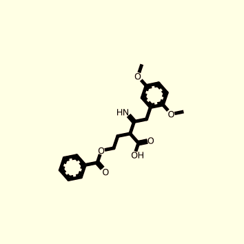 COc1ccc(OC)c(CC(=N)C(CCOC(=O)c2ccccc2)C(=O)O)c1